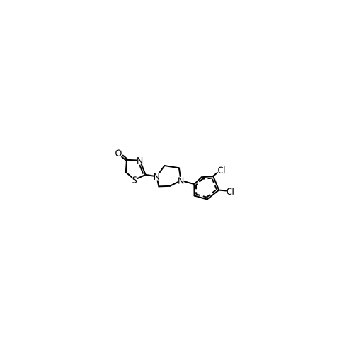 O=C1CSC(N2CCN(c3ccc(Cl)c(Cl)c3)CC2)=N1